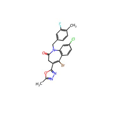 Cc1nnc(C2=C(Br)c3ccc(Cl)cc3N(Cc3ccc(C)c(F)c3)C(=O)C2)o1